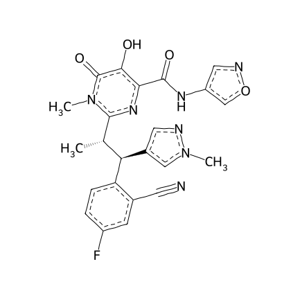 C[C@H](c1nc(C(=O)Nc2cnoc2)c(O)c(=O)n1C)[C@@H](c1cnn(C)c1)c1ccc(F)cc1C#N